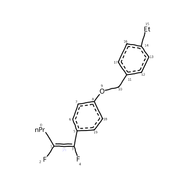 CCC/C(F)=C(/F)c1ccc(OCc2ccc(CC)cc2)cc1